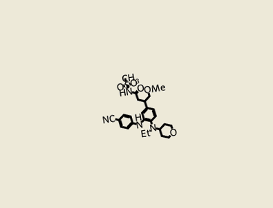 CCN(c1ccc(C(COC)CC(=O)NS(C)(=O)=O)cc1Nc1ccc(C#N)cc1)C1CCOCC1